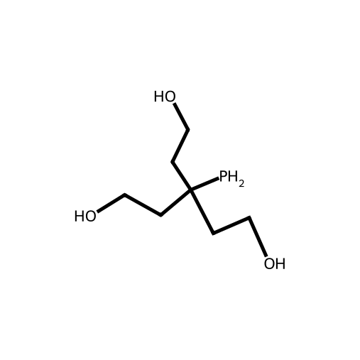 OCCC(P)(CCO)CCO